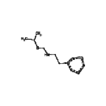 CC(C)OCNCCc1ccccc1